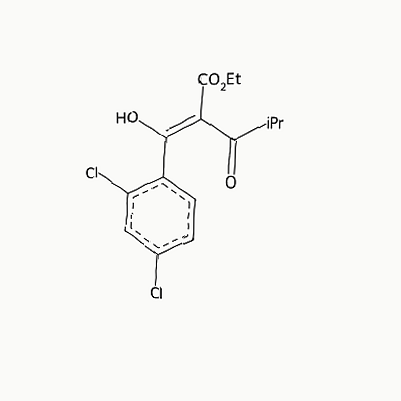 CCOC(=O)C(C(=O)C(C)C)=C(O)c1ccc(Cl)cc1Cl